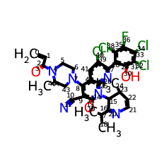 C=CC(=O)N1CCN(c2c(C#N)c(=O)n(C3C(C(C)C)=NC=CC3C)c3nc(-c4c(O)c(Cl)c(Cl)c(F)c4Cl)c(Cl)cc23)C[C@H]1C